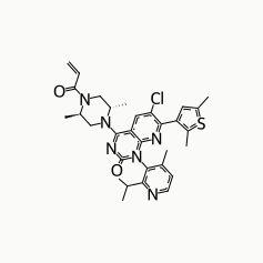 C=CC(=O)N1C[C@H](C)N(c2nc(=O)n(-c3c(C)ccnc3C(C)C)c3nc(-c4cc(C)sc4C)c(Cl)cc23)C[C@H]1C